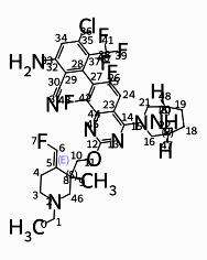 CCN1CC/C(=C\F)[C@](C)(COc2nc(N3C[C@H]4CC[C@@H](C3)N4)c3cc(F)c(-c4c(C#N)c(N)cc(Cl)c4C(F)(F)F)c(F)c3n2)C1